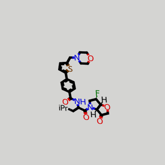 CC(C)CC(NC(=O)c1ccc(-c2ccc(CN3CCOCC3)s2)cc1)C(=O)N1C[C@H](F)[C@H]2OCC(=O)[C@H]21